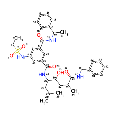 CCS(=O)(=O)Nc1cc(C(=O)NC(C)c2ccccc2)cc(C(=O)NC(CC(C)C)C(O)CC(C)C(=O)NCc2ccccc2)c1